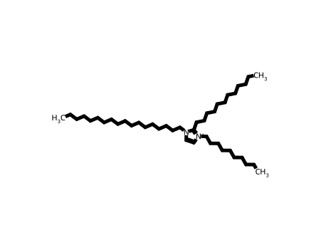 CCCCCCCCCCCCCCCCCCn1cc[n+](CCCCCCCCCC)c1CCCCCCCCCCCC